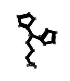 CC[CH]CC(C1=CC=CC1)C1=CC=CC1